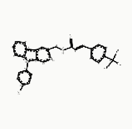 O=C(/C=C/c1ccc(C(F)(F)F)cc1)NCc1cc2c3ccccc3n(-c3ccc(Cl)cc3)c2cn1